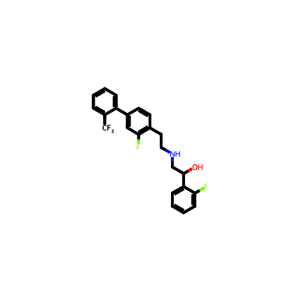 OC(CNCCc1ccc(-c2ccccc2C(F)(F)F)cc1F)c1ccccc1F